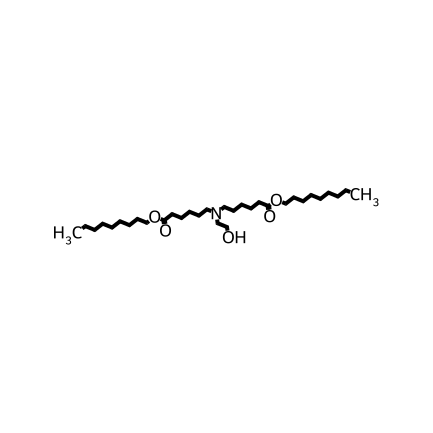 CCCCCCCCCOC(=O)CCCCCN(CCO)CCCCCC(=O)OCCCCCCCCC